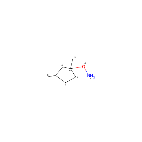 CC1CCC(C)(ON)C1